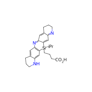 CC(C)[Si]1(CCCC(=O)O)c2cc3c(cc2N=c2cc4c(cc21)=NCCC4)CCCN3